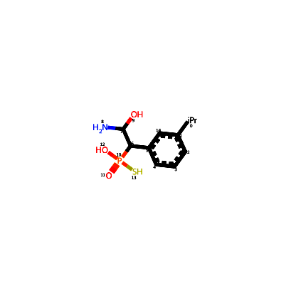 CC(C)c1cccc(C(C(N)O)P(=O)(O)S)c1